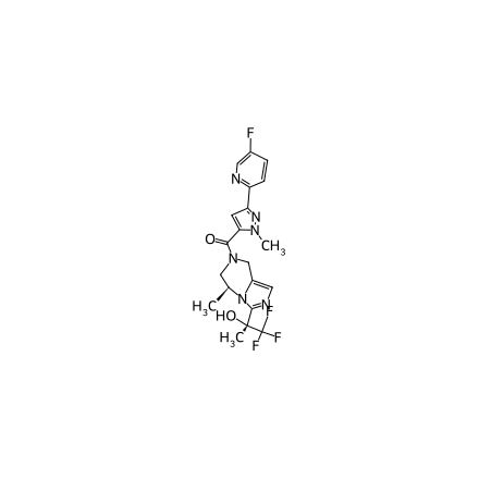 C[C@H]1CN(C(=O)c2cc(-c3ccc(F)cn3)nn2C)Cc2cnc([C@@](C)(O)C(F)(F)F)n21